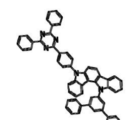 c1ccc(-c2cc(-c3ccccc3)cc(-n3c4ccccc4c4ccc5c(c6ccccc6n5-c5ccc(-c6nc(-c7ccccc7)nc(-c7ccccc7)n6)cc5)c43)c2)cc1